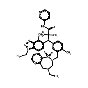 CC[C@H]1Cc2ncccc2S(=O)(=O)N(Cc2cc([C@@H](c3ccc4c(nnn4CC)c3C)C(C)(C)C(=O)Nc3cccnc3)ccc2C)C1